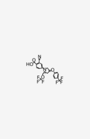 N#Cc1cc(N2C[C@@H](Oc3ccc(C(F)(F)F)cc3)C[C@H]2COC(F)(F)F)ccc1C(=O)O